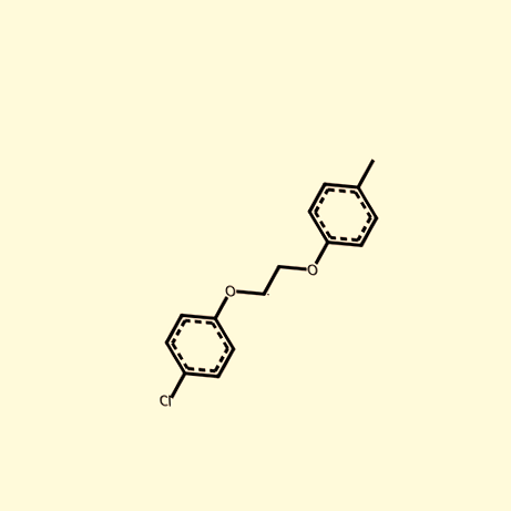 Cc1ccc(OC[CH]Oc2ccc(Cl)cc2)cc1